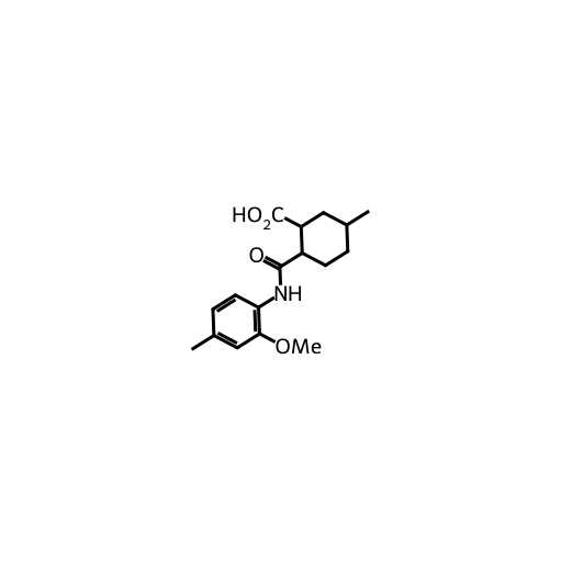 COc1cc(C)ccc1NC(=O)C1CCC(C)CC1C(=O)O